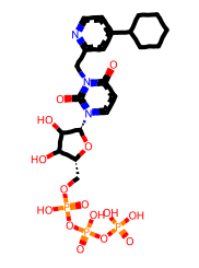 O=c1ccn([C@@H]2O[C@H](COP(=O)(O)OP(=O)(O)OP(=O)(O)O)C(O)C2O)c(=O)n1Cc1cc(C2CCCCC2)ccn1